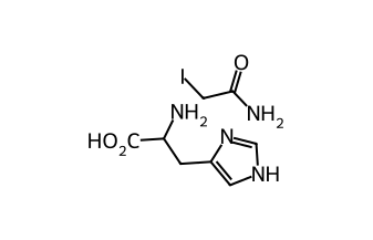 NC(=O)CI.NC(Cc1c[nH]cn1)C(=O)O